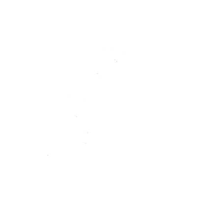 Cc1c(CN2CCN(C(=O)C3CCCC3)[C@@H](C)C2)cc(Cl)cc1Nc1nnc(CC#N)o1